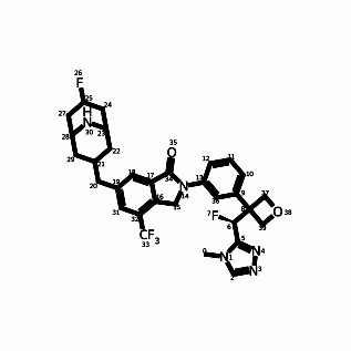 Cn1cnnc1[C@@H](F)C1(c2cccc(N3Cc4c(cc(CC5CC6CC(F)CC(C5)N6)cc4C(F)(F)F)C3=O)c2)COC1